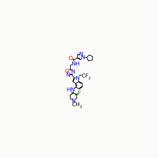 CN1CC[C@@H](Nc2cccc3c2cc(-c2noc(CNC(=O)c4cnn(C5CCCC5)c4)n2)n3CC(F)(F)F)[C@@H](F)C1